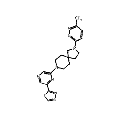 FC(F)(F)c1ccc(N2CCC3(CCN(c4cncc(-c5nncs5)n4)CC3)C2)nn1